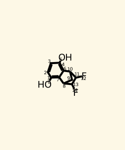 Oc1ccc(O)c2c1C1CC2C(F)C1F